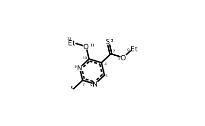 CCOC(=S)c1cnc(C)nc1OCC